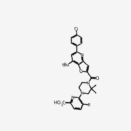 CC(C)(C)c1cc(-c2ccc(Cl)cc2)nc2cc(C(=O)N3CCN(c4nc(C(=O)O)ccc4F)CC3(C)C)oc12